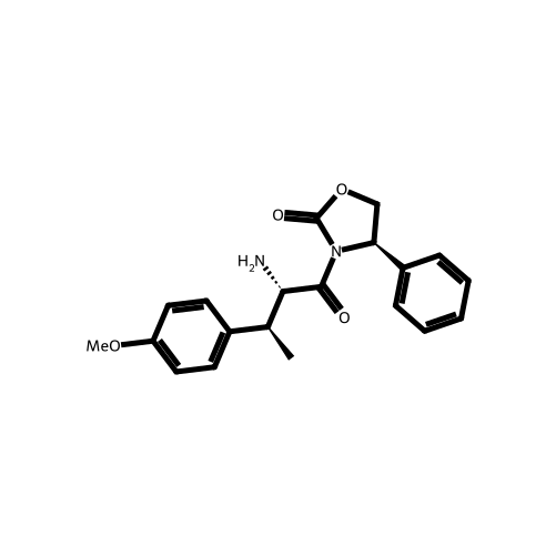 COc1ccc([C@H](C)[C@H](N)C(=O)N2C(=O)OC[C@H]2c2ccccc2)cc1